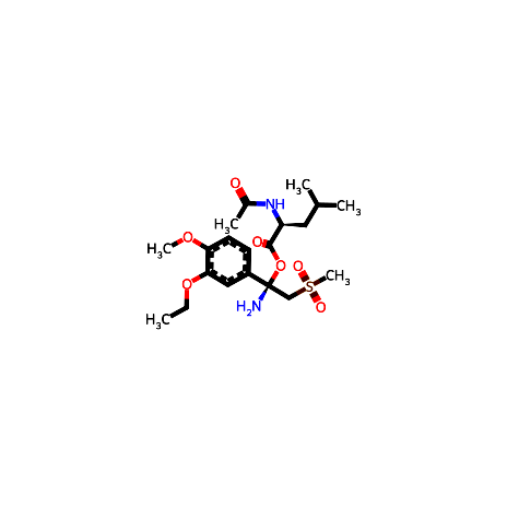 CCOc1cc([C@@](N)(CS(C)(=O)=O)OC(=O)[C@H](CC(C)C)NC(C)=O)ccc1OC